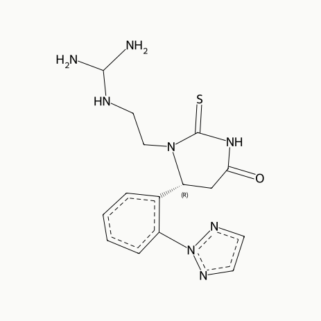 NC(N)NCCN1C(=S)NC(=O)C[C@@H]1c1ccccc1-n1nccn1